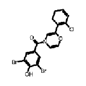 O=C(c1cc(Br)c(O)c(Br)c1)N1C=COC(C2=C(Cl)C=CCC2)=C1